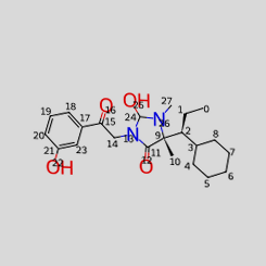 CC[C@@H](C1CCCCC1)[C@]1(C)C(=O)N(CC(=O)c2cccc(O)c2)C(O)N1C